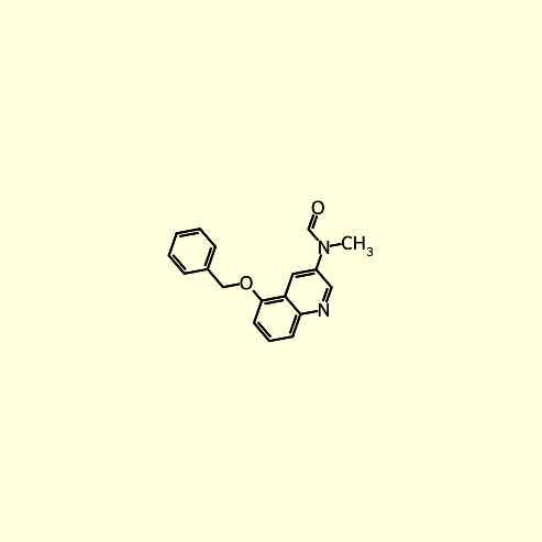 CN(C=O)c1cnc2cccc(OCc3ccccc3)c2c1